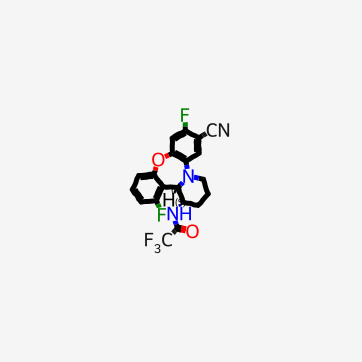 N#Cc1cc2c(cc1F)Oc1cccc(F)c1[C@@H]1[C@@H](NC(=O)C(F)(F)F)CCCN21